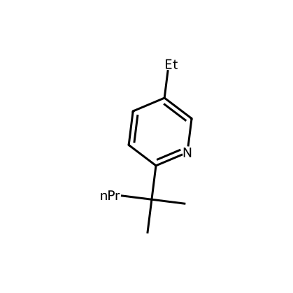 CCCC(C)(C)c1ccc(CC)cn1